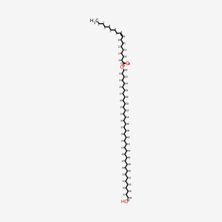 CCCCCCCC/C=C\CCCCCCCC(=O)OCCCCCCCCCCCCCCCCCCCCCCCCCCCCCCCCCCCCCCCO